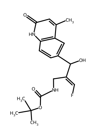 Cc1cc(=O)[nH]c2ccc(C(O)/C(=C/F)CNC(=O)OC(C)(C)C)cc12